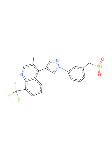 Cc1cnc2c(C(F)(F)F)cccc2c1-c1cnn(-c2cccc(C[SH](=O)=O)c2)c1